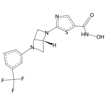 O=C(NO)c1cnc(N2CC3[C@H]2CN3c2cccc(C(F)(F)F)c2)s1